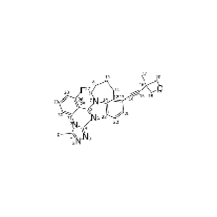 Cc1nnc2nc(N3CCCCc4c(C#CC5(C)COC5)cccc43)c3c(F)cccc3n12